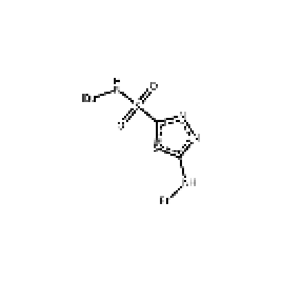 CCNc1nnc(S(=O)(=O)NC(C)CC)s1